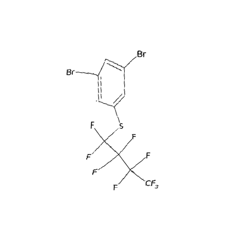 FC(F)(F)C(F)(F)C(F)(F)C(F)(F)Sc1[c]c(Br)cc(Br)c1